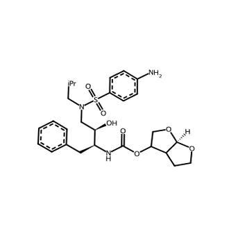 CC(C)CN(C[C@@H](O)[C@H](Cc1ccccc1)NC(=O)OC1CO[C@H]2OCCC12)S(=O)(=O)c1ccc(N)cc1